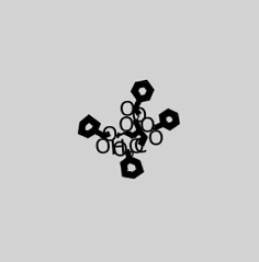 C=C[C@@]1(OC(=O)c2ccccc2)C(OC(=O)c2ccccc2)[C@@H](COC(=O)c2ccccc2)O[C@@H]1OC(=O)c1ccccc1